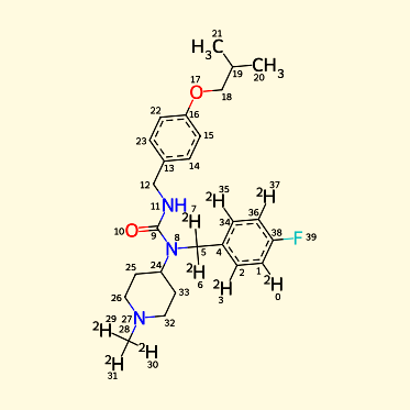 [2H]c1c([2H])c(C([2H])([2H])N(C(=O)NCc2ccc(OCC(C)C)cc2)C2CCN(C([2H])([2H])[2H])CC2)c([2H])c([2H])c1F